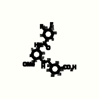 COc1ccc(NC(=O)c2ccc(F)c(F)c2)cc1NCc1cccc(C(=O)O)c1